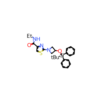 CCNC(=O)c1csc(N2CC(O[Si](c3ccccc3)(c3ccccc3)C(C)(C)C)C2)n1